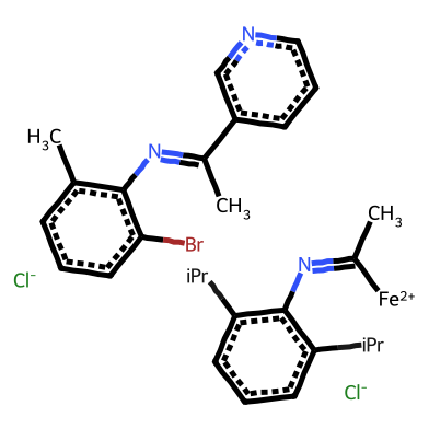 CC(=Nc1c(C)cccc1Br)c1cccnc1.C[C]([Fe+2])=Nc1c(C(C)C)cccc1C(C)C.[Cl-].[Cl-]